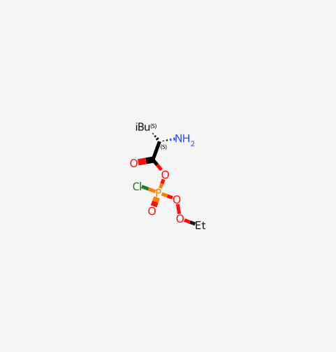 CCOOP(=O)(Cl)OC(=O)[C@@H](N)[C@@H](C)CC